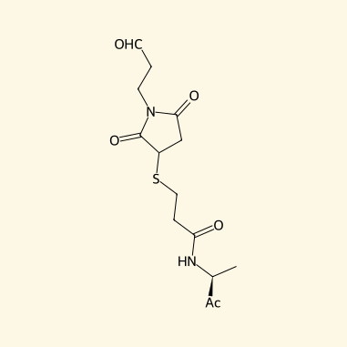 CC(=O)[C@H](C)NC(=O)CCSC1CC(=O)N(CCC=O)C1=O